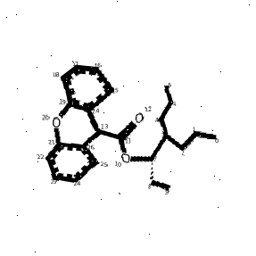 CCCC(CCC)[C@H](CC)OC(=O)C1c2ccccc2Oc2ccccc21